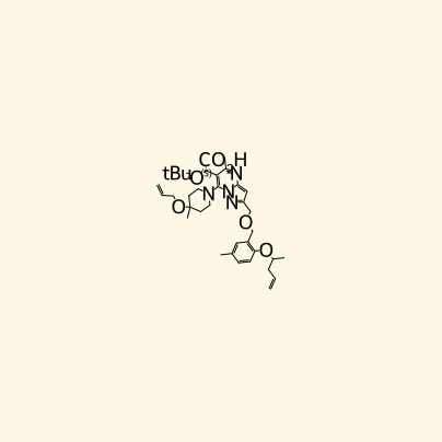 C=CCOC1(C)CCN(c2c([C@H](OC(C)(C)C)C(=O)O)c(C)nc3cc(COCc4cc(C)ccc4OC(C)CC=C)nn23)CC1